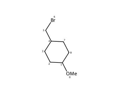 COC1CCC(CBr)CC1